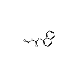 O=[C]OC(=O)Oc1cccc2ccccc12